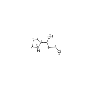 OC(CCCl)C1CCCN1